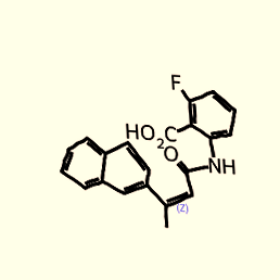 C/C(=C/C(=O)Nc1cccc(F)c1C(=O)O)c1ccc2ccccc2c1